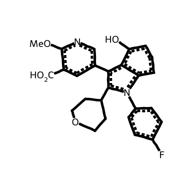 COc1ncc(-c2c(C3CCOCC3)n(-c3ccc(F)cc3)c3cccc(O)c23)cc1C(=O)O